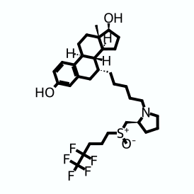 C[C@]12CC[C@@H]3c4ccc(O)cc4C[C@@H](CCCCCN4CCC[C@H]4C[S+]([O-])CCCC(F)(F)C(F)(F)F)[C@H]3[C@@H]1CC[C@@H]2O